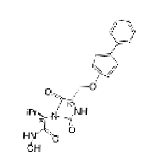 CC(C)[C@H](C(=O)NO)N1C(=O)N[C@@H](COc2ccc(-c3ccccc3)cc2)C1=O